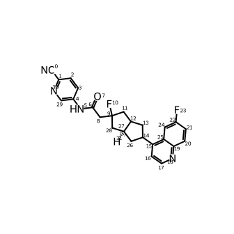 N#Cc1ccc(NC(=O)CC2(F)CC3CC(c4ccnc5ccc(F)cc45)C[C@H]3C2)cn1